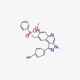 C#Cc1ccc(-c2nn(C)c3cnc4cc(OC)c(CP(=O)(O)c5ccccc5)cc4c23)cc1